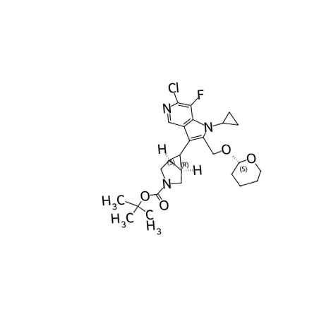 CC(C)(C)OC(=O)N1C[C@@H]2C(c3c(CO[C@H]4CCCCO4)n(C4CC4)c4c(F)c(Cl)ncc34)[C@@H]2C1